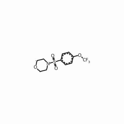 O=S(=O)(c1ccc(OC(F)(F)F)cc1)N1C[CH]OCC1